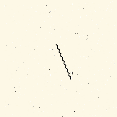 CCCCCCCCCCCCCCCNCCC